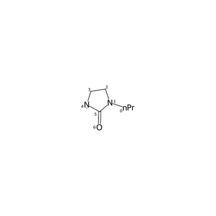 CCCN1CC[N]C1=O